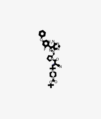 CC(C)(C)OC(=O)N1CCN(C(C)(C)/C=C(\C#N)C(=O)N2CCC[C@H]2Cn2nc(-c3ccc(Oc4ccccc4)cc3F)c3c(N)ncnc32)CC1